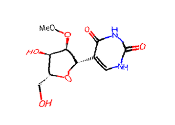 COO[C@@H]1[C@H](O)[C@@H](CO)O[C@H]1c1c[nH]c(=O)[nH]c1=O